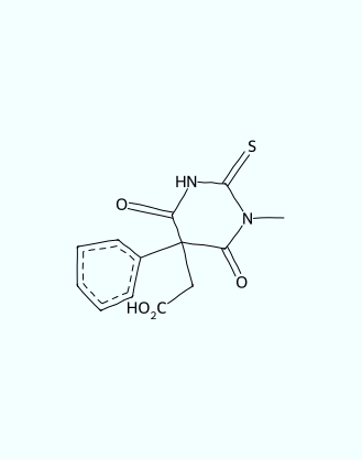 CN1C(=O)C(CC(=O)O)(c2ccccc2)C(=O)NC1=S